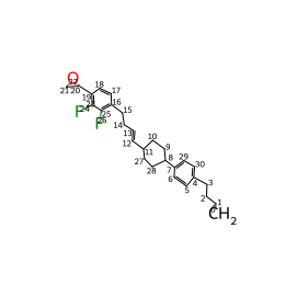 C=CCCc1ccc(C2CCC(/C=C/CCc3ccc(C4CO4)c(F)c3F)CC2)cc1